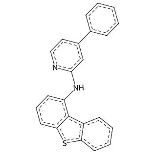 c1ccc(-c2ccnc(Nc3cccc4sc5ccccc5c34)c2)cc1